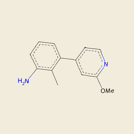 COc1cc(-c2cccc(N)c2C)ccn1